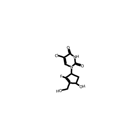 O=c1[nH]c(=O)n(C2CC(O)C(CO)=C2F)cc1Cl